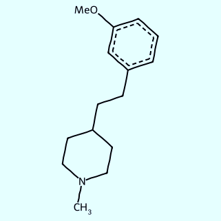 COc1cccc(CCC2CCN(C)CC2)c1